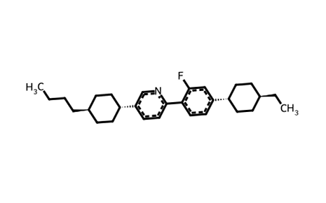 CCCC[C@H]1CC[C@H](c2ccc(-c3ccc([C@H]4CC[C@H](CC)CC4)cc3F)nc2)CC1